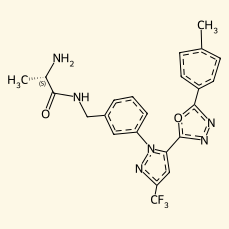 Cc1ccc(-c2nnc(-c3cc(C(F)(F)F)nn3-c3cccc(CNC(=O)[C@H](C)N)c3)o2)cc1